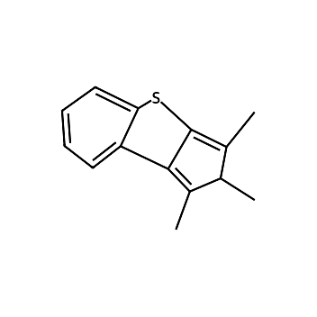 CC1=c2sc3ccccc3c2=C(C)C1C